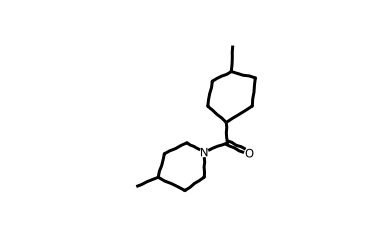 CC1CCC(C(=O)N2CCC(C)CC2)CC1